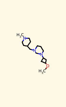 COC1CC(N2CCCN(CC3CCN(C)CC3)C2)C1